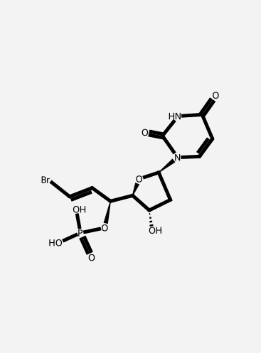 O=c1ccn([C@H]2C[C@H](O)[C@@H]([C@H](/C=C/Br)OP(=O)(O)O)O2)c(=O)[nH]1